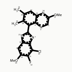 COc1cnc2c(-c3nc4c(Cl)c(F)c(OC)cc4s3)c(C)c(C)cc2n1